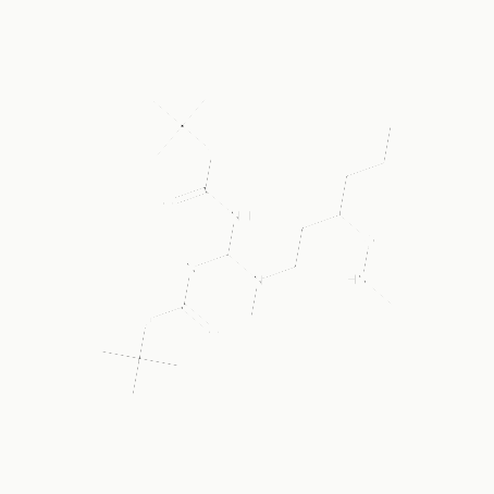 CCCC(CCN(C)C(NC(=O)OC(C)(C)C)NC(=O)OC(C)(C)C)ONC